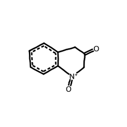 O=C1Cc2ccccc2[N+](=O)C1